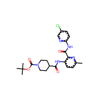 Cc1ccc(NC(=O)C2CCN(C(=O)OC(C)(C)C)CC2)c(C(=O)Nc2ccc(Cl)cn2)n1